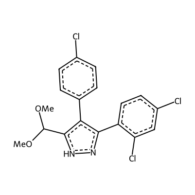 COC(OC)c1[nH]nc(-c2ccc(Cl)cc2Cl)c1-c1ccc(Cl)cc1